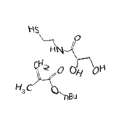 C=C(C)C(=O)OCCCC.O=C(NCCS)C(O)CO